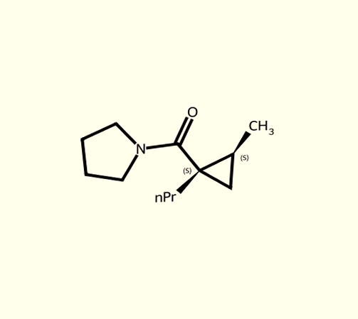 CCC[C@]1(C(=O)N2CCCC2)C[C@@H]1C